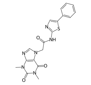 Cn1c(=O)c2c(ncn2CC(=O)Nc2ncc(-c3ccccc3)s2)n(C)c1=O